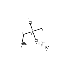 CCCCC[Si](C)(Cl)Cl.[K+].[OH-]